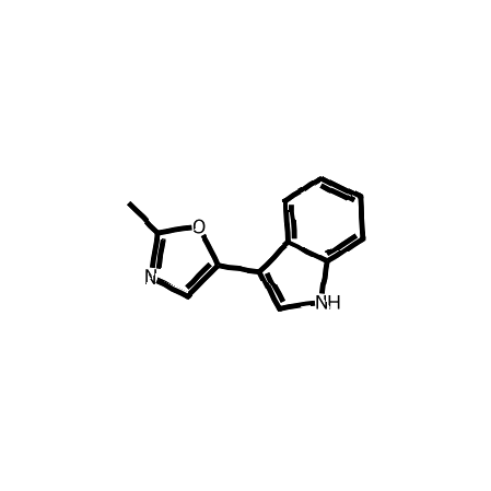 Cc1ncc(-c2c[nH]c3ccccc23)o1